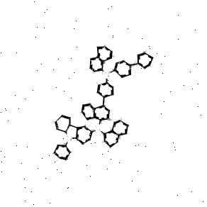 C1=CC2c3cc(N(c4cccc5ccccc45)c4ccc(-c5ccc(N(c6ccc(-c7ccccc7)cc6)c6cccc7ccccc67)cc5)c5ccccc45)ccc3N(c3ccccc3)C2C=C1